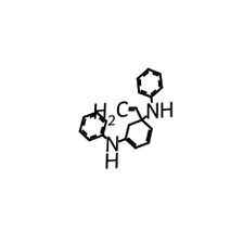 C=CC1(Nc2ccccc2)C=CC=C(Nc2ccccc2)C1